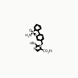 CCCCc1ncc(C(=O)OCC)n1Cc1ccc(-c2ccccc2S(N)(=O)=O)cc1